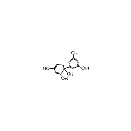 OC1=CCC(O)(c2cc(O)cc(O)c2)C(O)=C1